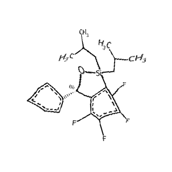 CC(C)C[Si]1(CC(C)C)O[C@@H](c2ccccc2)c2c(F)c(F)c(F)c(F)c21